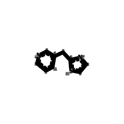 c1cncc(Cc2nccs2)c1